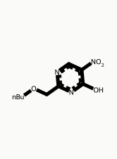 CCCCOCc1ncc([N+](=O)[O-])c(O)n1